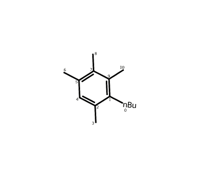 [CH2]CCCc1c(C)cc(C)c(C)c1C